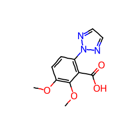 COc1ccc(-n2nccn2)c(C(=O)O)c1OC